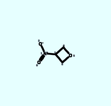 O=[N+]([O-])C1COC1